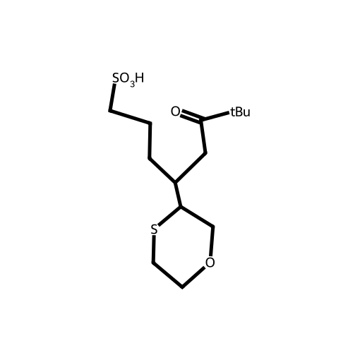 CC(C)(C)C(=O)CC(CCCS(=O)(=O)O)C1COCCS1